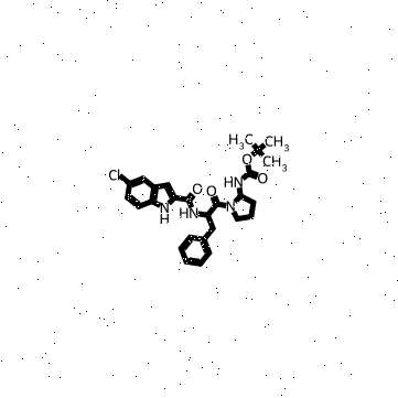 CC(C)(C)OC(=O)NC1CCCN1C(=O)C(Cc1ccccc1)NC(=O)c1cc2cc(Cl)ccc2[nH]1